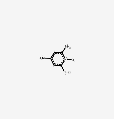 CCCCCCc1cc([N+](=O)[O-])cc(N)[n+]1[O-]